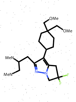 CNCC(Cc1nn2c(c1C1CCC(COC)(COC)CC1)CC(F)(F)C2)NC